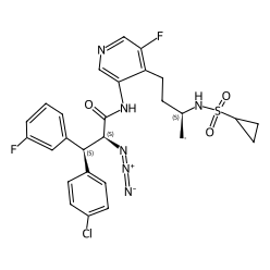 [CH2][C@@H](CCc1c(F)cncc1NC(=O)[C@@H](N=[N+]=[N-])[C@@H](c1ccc(Cl)cc1)c1cccc(F)c1)NS(=O)(=O)C1CC1